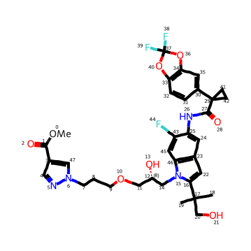 COC(=O)c1cnn(CCCOC[C@H](O)Cn2c(C(C)(C)CO)cc3cc(NC(=O)C4(c5ccc6c(c5)OC(F)(F)O6)CC4)c(F)cc32)c1